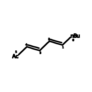 CCCCC=CC=CC(C)=O